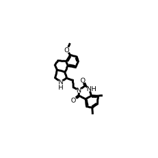 COc1cccc2c1CCC1CNC(CCn3c(=O)[nH]c4c(C)cc(C)cc4c3=O)C21